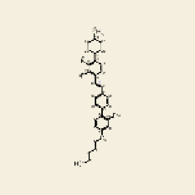 CCCCCOc1ccc(-c2ccc(/C=C/c3ccc(C4CCC(C)CC4)c(F)c3F)cc2)c(F)c1